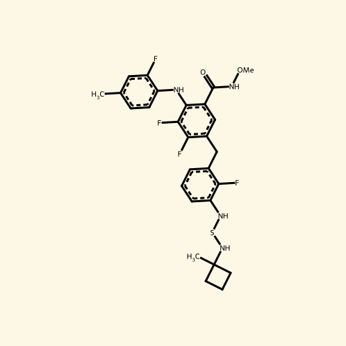 CONC(=O)c1cc(Cc2cccc(NSNC3(C)CCC3)c2F)c(F)c(F)c1Nc1ccc(C)cc1F